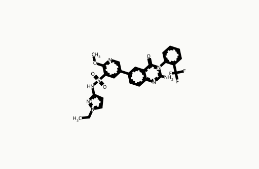 CCn1ccc(NS(=O)(=O)c2cc(-c3ccc4nc(N)n(-c5ccccc5C(F)(F)F)c(=O)c4c3)cnc2OC)n1